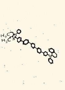 C=Cc1nc(-c2ccc(-c3ccc(-c4ccc(-c5ccc(-c6ccc(N(C7=CCCc8ccccc87)c7ccccc7)cc6)cc5)cc4)cc3)cc2)n(-c2ccccc2)c1/C=C\C